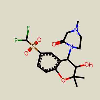 CN1CCN(C2c3cc(S(=O)(=O)C(F)F)ccc3OC(C)(C)C2O)C(=O)C1